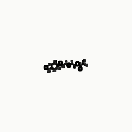 C=C(C)C(=O)OCCOCCOc1ccc(C=O)cc1